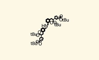 CC(C)(C)OC(=O)C(Cc1cccc(CNCc2cccc(CC(C(=O)OC(C)(C)C)[C@H]3CCN(C(=O)OC(C)(C)C)C3)c2)c1)[C@H]1CCN(C(=O)OC(C)(C)C)C1